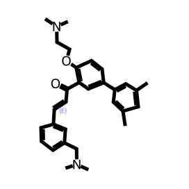 Cc1cc(C)cc(-c2ccc(OCCN(C)C)c(C(=O)/C=C/c3cccc(CN(C)C)c3)c2)c1